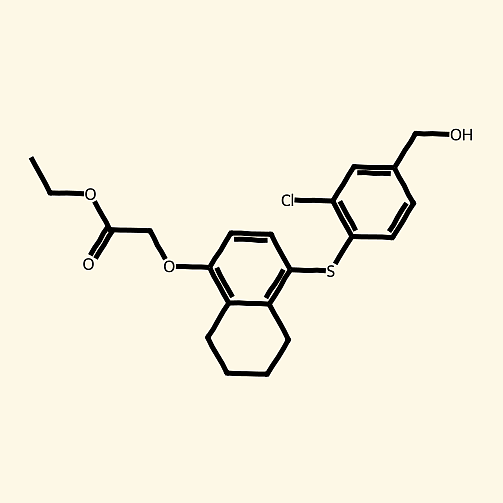 CCOC(=O)COc1ccc(Sc2ccc(CO)cc2Cl)c2c1CCCC2